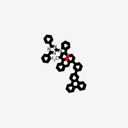 Cc1c(-c2ccccc2Cc2ccccc2-c2cccc(C3=CC4c5ccccc5-c5ccccc5C4C=C3)c2)ccc2c3ccccc3n(-c3nc(-c4ccccc4)nc(-c4ccccc4)n3)c12